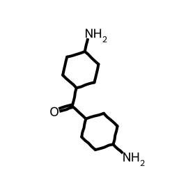 NC1CCC(C(=O)C2CCC(N)CC2)CC1